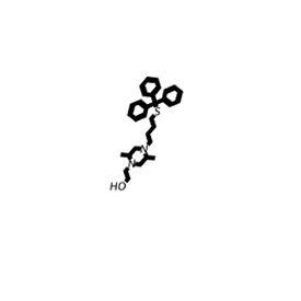 CC1CN(CCCCSC(c2ccccc2)(c2ccccc2)c2ccccc2)C(C)CN1CCO